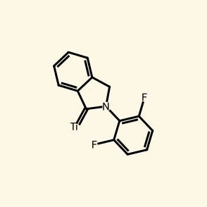 Fc1cccc(F)c1N1Cc2ccccc2[C]1=[Ti]